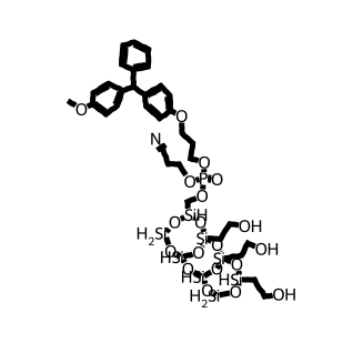 COc1ccc(C(c2ccccc2)c2ccc(OCCCOP(=O)(OCCC#N)OC[SiH]3O[SiH2]O[SiH]4O[SiH]5O[SiH2]O[SiH](CCO)O[Si](CCO)(O5)O[Si](CCO)(O3)O4)cc2)cc1